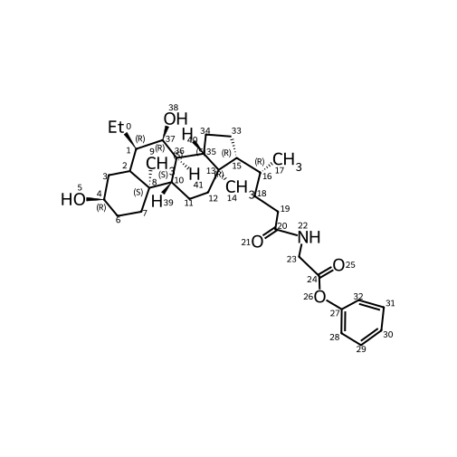 CC[C@@H]1C2C[C@H](O)CC[C@]2(C)[C@H]2CC[C@]3(C)[C@@H]([C@H](C)CCC(=O)NCC(=O)Oc4ccccc4)CC[C@H]3[C@@H]2[C@@H]1O